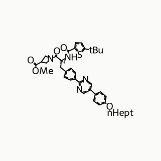 CCCCCCCOc1ccc(-c2cnc(-c3ccc(C[C@H](NC(=O)c4ccc(C(C)(C)C)s4)C(=O)N4CC(C(=O)OC)C4)cc3)nc2)cc1